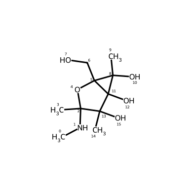 CNC1(C)OC2(CO)C(C)(O)C2(O)C1(C)O